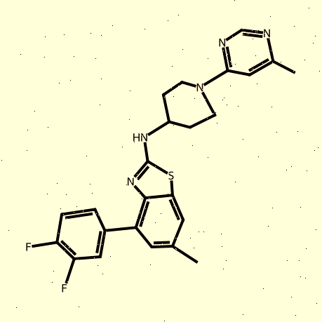 Cc1cc(-c2ccc(F)c(F)c2)c2nc(NC3CCN(c4cc(C)ncn4)CC3)sc2c1